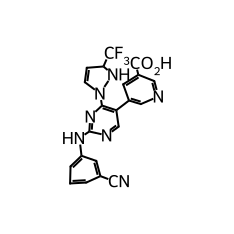 N#Cc1cccc(Nc2ncc(-c3cncc(C(=O)O)c3)c(N3C=CC(C(F)(F)F)N3)n2)c1